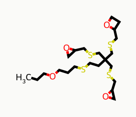 CCCOCCCSCCC(CSCC1CCO1)(CSCC1CO1)CSCC1CO1